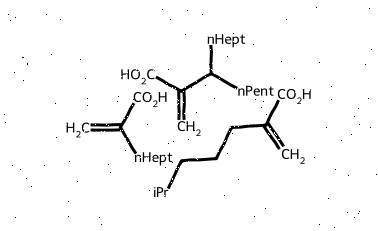 C=C(C(=O)O)C(CCCCC)CCCCCCC.C=C(CCCC(C)C)C(=O)O.C=C(CCCCCCC)C(=O)O